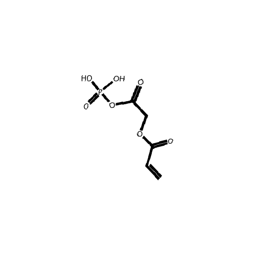 C=CC(=O)OCC(=O)OP(=O)(O)O